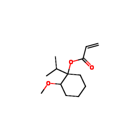 C=CC(=O)OC1(C(C)C)CCCCC1OC